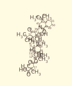 CC(C)C1=C2[C@H]3CC[C@@H]4[C@@]5(C)CC[C@H](OC(=O)CC(C)(C)C(=O)O)C(C)(C)[C@@H]5CC[C@@]4(C)[C@]3(C)CCC2(C(O)CN(CCN(C)C)C(=O)C2CCCCC2)CC1=O